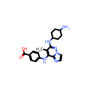 Cc1c(NC2CCC(N)CC2)nn2ccnc2c1Nc1ccc(C(=O)O)cc1